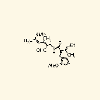 CC/C=C(C)/C(=C\c1cccn1OC)C(=O)NC/C(C=O)=C(C)/C=C(/C)NC